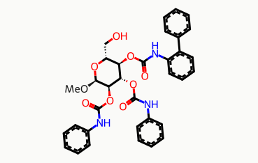 CO[C@H]1O[C@H](CO)[C@@H](OC(=O)Nc2ccccc2-c2ccccc2)[C@H](OC(=O)Nc2ccccc2)[C@H]1OC(=O)Nc1ccccc1